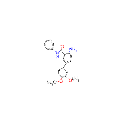 COc1ccc(-c2ccc(N)c(C(=O)Nc3ccccc3)c2)cc1OC